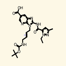 CCn1nc(C)cc1C(=O)Nc1nc2cc(C(=O)O)cnc2n1C/C=C/CNC(=O)OC(C)(C)C